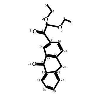 CCOC(OCC)C(=O)c1ccc2c(c1)C(=O)c1ccccc1C2